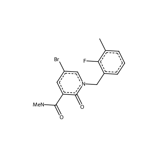 CNC(=O)c1cc(Br)cn(Cc2cccc(C)c2F)c1=O